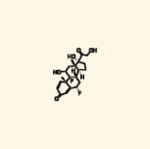 C[C@]12C=CC(=O)C=C1[C@@H](F)C[C@H]1[C@@H]3CC[C@](O)(C(=O)CO)[C@@]3(C)CC(O)[C@@]12F